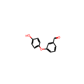 O=Cc1cccc(Oc2ccc(O)cc2)c1